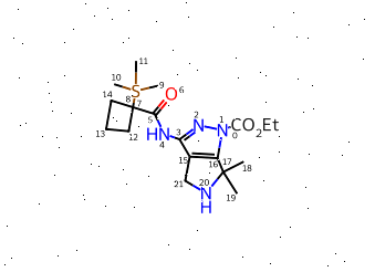 CCOC(=O)n1nc(NC(=O)C2(S(C)(C)C)CCC2)c2c1C(C)(C)NC2